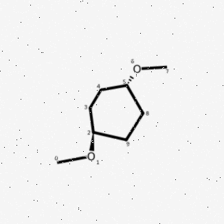 CO[C@H]1CC[C@H](OC)CC1